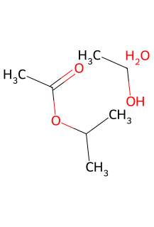 CC(=O)OC(C)C.CCO.O